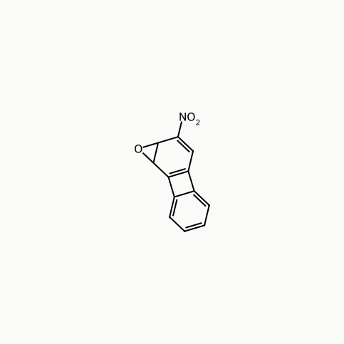 O=[N+]([O-])C1=CC2=C(c3ccccc32)C2OC12